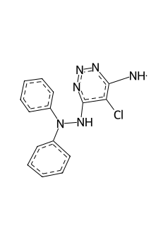 [NH]c1nnnc(NN(c2ccccc2)c2ccccc2)c1Cl